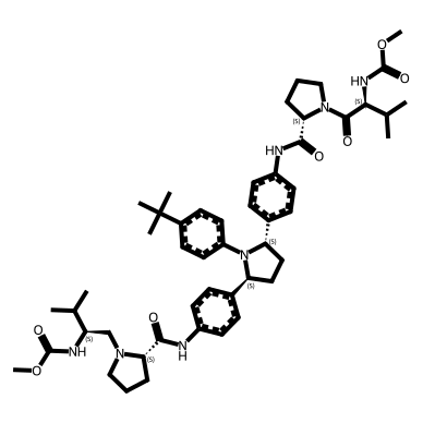 COC(=O)N[C@H](C(=O)N1CCC[C@H]1C(=O)Nc1ccc([C@@H]2CC[C@@H](c3ccc(NC(=O)[C@@H]4CCCN4C[C@@H](NC(=O)OC)C(C)C)cc3)N2c2ccc(C(C)(C)C)cc2)cc1)C(C)C